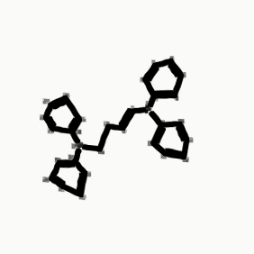 C(=C\P(c1ccccc1)c1ccccc1)/CCP(c1ccccc1)c1ccccc1